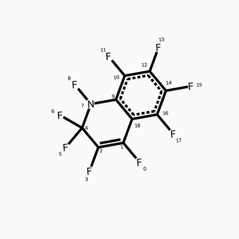 FC1=C(F)C(F)(F)N(F)c2c(F)c(F)c(F)c(F)c21